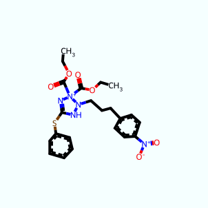 CCOC(=O)[N+]1(C(=O)OCC)N=C(Sc2ccccc2)NN1CCCc1ccc([N+](=O)[O-])cc1